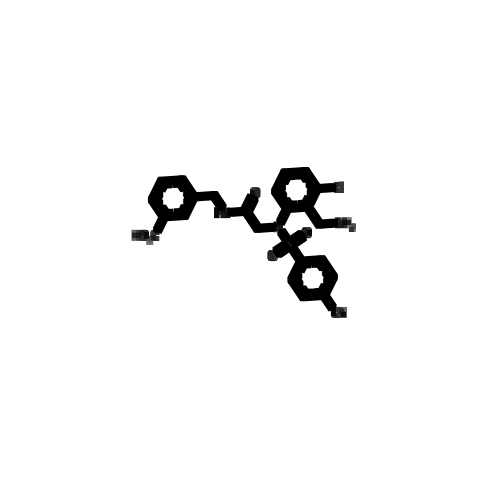 N#Cc1ccc(S(=O)(=O)N(CC(=O)NCc2cccc(C(=O)O)c2)c2cccc(Cl)c2CN)cc1